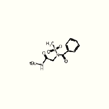 CC(C)(C)NC(=O)CN(C(=O)c1ccccc1)S(C)(=O)=O